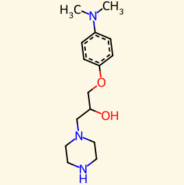 CN(C)c1ccc(OCC(O)CN2CCNCC2)cc1